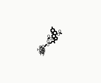 CC(=O)OC1CC2CC(C)CCC2(C)C2CC(OC(C)=O)C3(C)C(C(C)CCC(=O)OCCOS(=O)(=O)NS(=O)(=O)C(F)(F)F)CCC3C12